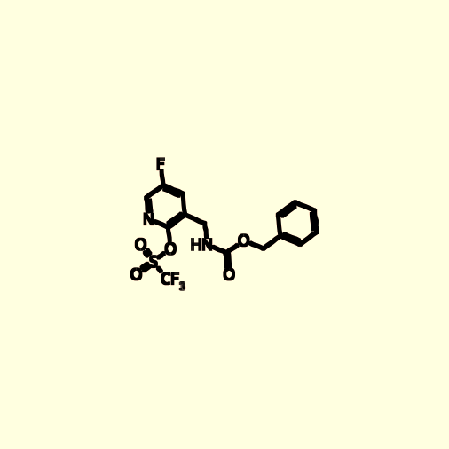 O=C(NCc1cc(F)cnc1OS(=O)(=O)C(F)(F)F)OCc1ccccc1